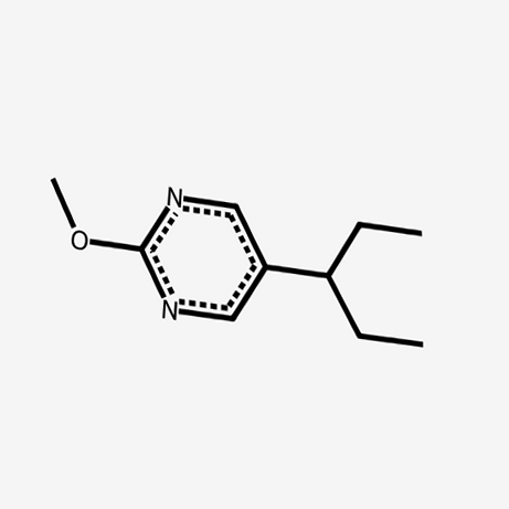 CCC(CC)c1cnc(OC)nc1